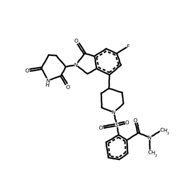 CN(C)C(=O)c1ccccc1S(=O)(=O)N1CCC(c2cc(F)cc3c2CN(C2CCC(=O)NC2=O)C3=O)CC1